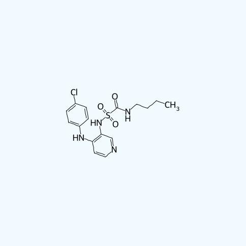 CCCCNC(=O)S(=O)(=O)Nc1cnccc1Nc1ccc(Cl)cc1